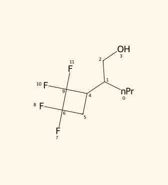 CCCC(CO)C1CC(F)(F)C1(F)F